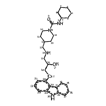 O=C(NC1CCCCC1)N1CCC(CNCC(O)COc2cccc3[nH]c4ccccc4c23)CC1